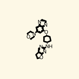 c1cnc2c(O[C@H]3CC[C@@H](Nc4ncc5c(n4)OCC5)CC3)cc(N3CCOCC3)cc2n1